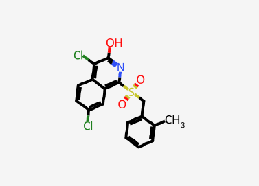 Cc1ccccc1CS(=O)(=O)c1nc(O)c(Cl)c2ccc(Cl)cc12